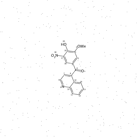 COc1cc(C(=O)c2ccnc3ccccc23)cc([N+](=O)[O-])c1O